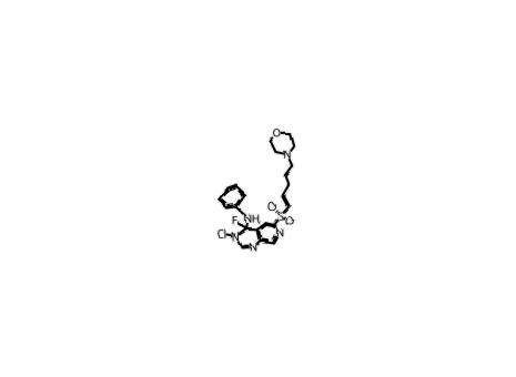 O=S(=O)(C=CCCCN1CCOCC1)c1cc2c(cn1)N=CN(Cl)C2(F)Nc1ccccc1